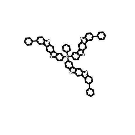 c1ccc(-c2ccc3oc4cc5c(cc4c3c2)oc2ccc([Si](c3ccccc3)(c3ccc4oc6cc7c(cc6c4c3)oc3ccc(-c4ccccc4)cc37)c3ccc4oc6cc7c(cc6c4c3)oc3ccc(-c4ccccc4)cc37)cc25)cc1